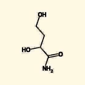 NC(=O)C(O)CCO